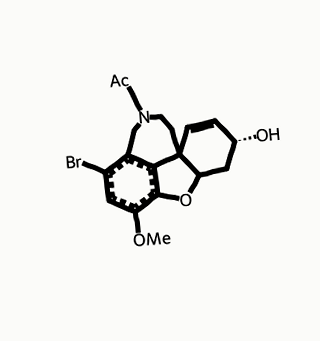 COc1cc(Br)c2c3c1OC1C[C@@H](O)C=CC31CCN(C(C)=O)C2